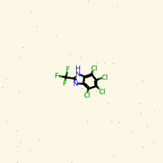 FC(F)(F)c1nc2c(Cl)c(Cl)c(Cl)c(Cl)c2[nH]1